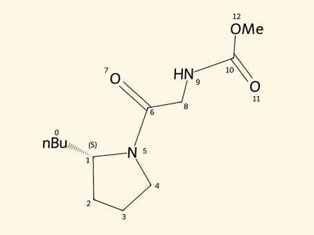 CCCC[C@H]1CCCN1C(=O)CNC(=O)OC